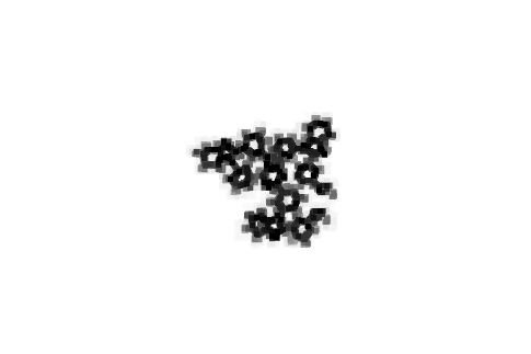 FC(F)(F)c1cccc(-c2nc3ccccc3n2-c2cccc(-c3nc(-c4cccc(-n5c(-c6cccc(C(F)(F)F)c6)nc6ccccc65)c4)nc(-c4cccc(-n5c(-c6cccc(C(F)(F)F)c6)nc6ccccc65)c4)n3)c2)c1